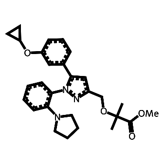 COC(=O)C(C)(C)OCc1cc(-c2cccc(OC3CC3)c2)n(-c2ccccc2N2CCCC2)n1